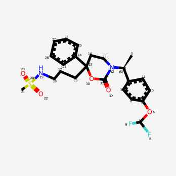 C[C@@H](c1ccc(OC(F)F)cc1)N1CCC(CCCNS(C)(=O)=O)(c2ccccc2)OC1=O